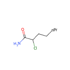 CCCCCC(Cl)C(N)=O